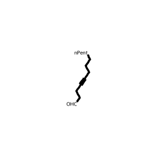 CCCCCCCCC#CCCC=O